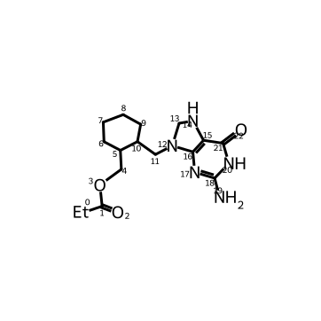 CCC(=O)OCC1CCCCC1CN1CNc2c1nc(N)[nH]c2=O